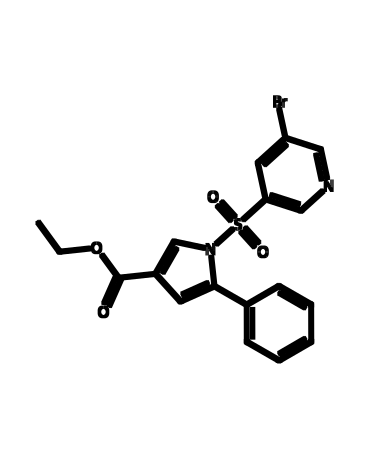 CCOC(=O)c1cc(-c2ccccc2)n(S(=O)(=O)c2cncc(Br)c2)c1